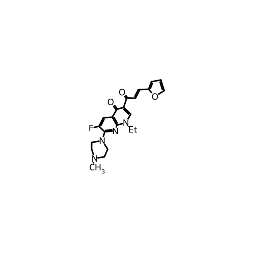 CCn1cc(C(=O)C=Cc2ccco2)c(=O)c2cc(F)c(N3CCN(C)CC3)nc21